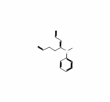 C=C/C=C(\CCC=C)N(C)C1=C=C=CC=C1